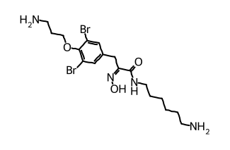 NCCCCCCNC(=O)C(Cc1cc(Br)c(OCCCN)c(Br)c1)=NO